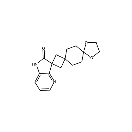 O=C1Nc2cccnc2C12CC1(CCC3(CC1)OCCO3)C2